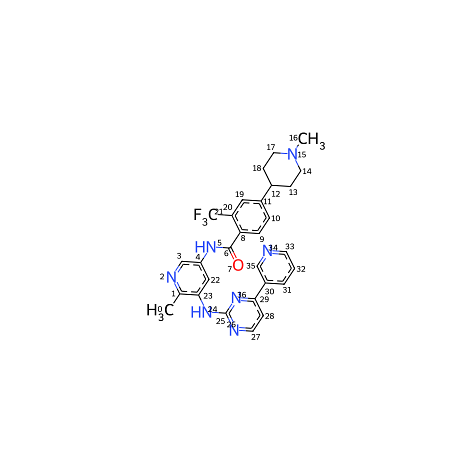 Cc1ncc(NC(=O)c2ccc(C3CCN(C)CC3)cc2C(F)(F)F)cc1Nc1nccc(-c2cccnc2)n1